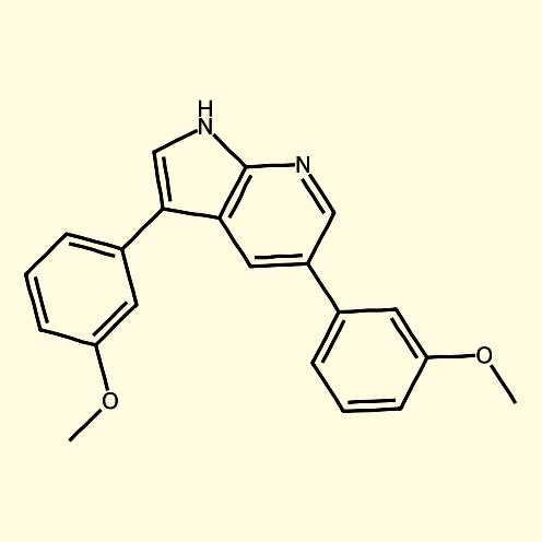 COc1cccc(-c2cnc3[nH]cc(-c4cccc(OC)c4)c3c2)c1